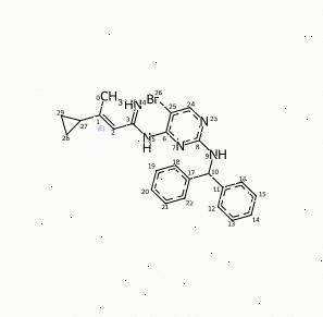 C/C(=C\C(=N)Nc1nc(NC(c2ccccc2)c2ccccc2)ncc1Br)C1CC1